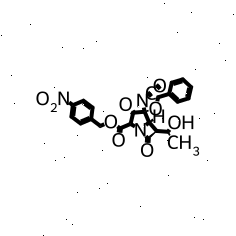 C[C@@H](O)[C@H]1C(=O)N2C(C(=O)OCc3ccc([N+](=O)[O-])cc3)C(=O)[C@](N=C=O)(OCc3ccccc3)[C@H]12